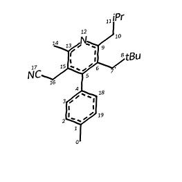 Cc1ccc(-c2c([CH]C(C)(C)C)c(CC(C)C)nc(C)c2CC#N)cc1